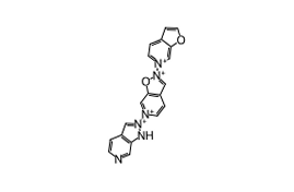 c1cc2c[n+](-[n+]3ccc4c[n+](-[n+]5ccc6ccoc6c5)oc4c3)[nH]c2cn1